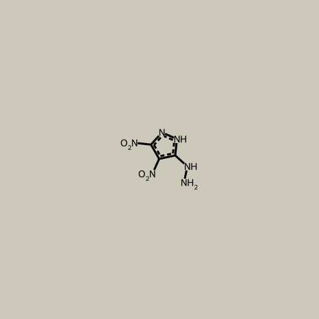 NNc1[nH]nc([N+](=O)[O-])c1[N+](=O)[O-]